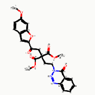 CCCCOc1ccc2cc(C(=O)CC(CCn3nnc4ccccc4c3=O)(C(=O)OC(C)(C)C)C(=O)OC(C)(C)C)oc2c1